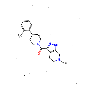 CC(C)(C)N1CCc2c(C(=O)N3CCC(c4ccccc4C(F)(F)F)CC3)n[nH]c2C1